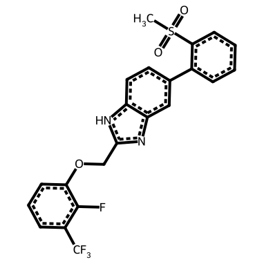 CS(=O)(=O)c1ccccc1-c1ccc2[nH]c(COc3cccc(C(F)(F)F)c3F)nc2c1